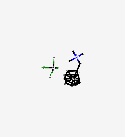 C[N+](C)(C)C[C]12[CH]3[CH]4[CH]5[CH]1[Fe]45321678[CH]2[CH]1[CH]6[CH]7[CH]28.F[B-](F)(F)F